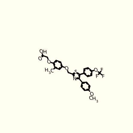 COc1ccc(-c2nc(COc3ccc(OCC(=O)O)c(C)c3)sc2-c2ccc(OC(F)(F)F)cc2)cc1